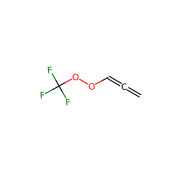 C=C=COOC(F)(F)F